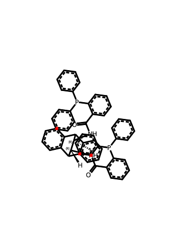 O=C(N[C@@H]1C2c3ccccc3C(c3ccccc32)[C@H]1NC(=O)c1ccccc1P(c1ccccc1)c1ccccc1)c1ccccc1P(c1ccccc1)c1ccccc1